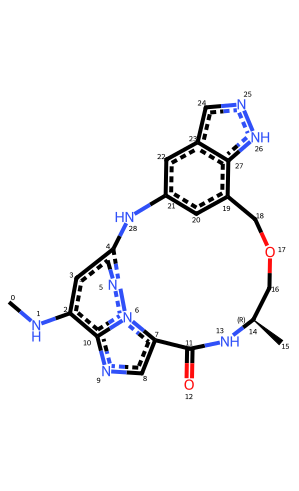 CNc1cc2nn3c(cnc13)C(=O)N[C@H](C)COCc1cc(cc3cn[nH]c13)N2